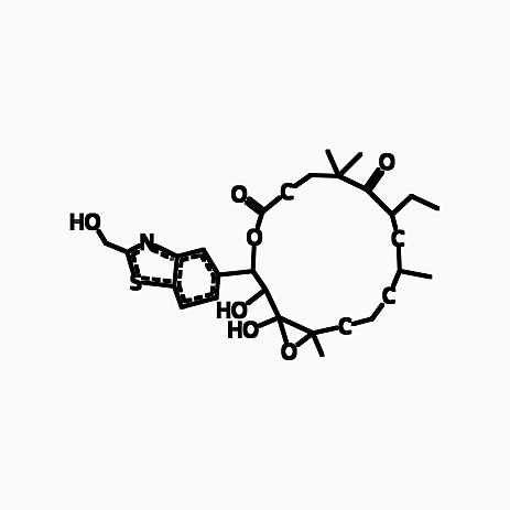 CCC1CC(C)CCCC2(C)OC2(O)C(O)C(c2ccc3sc(CO)nc3c2)OC(=O)CCC(C)(C)C1=O